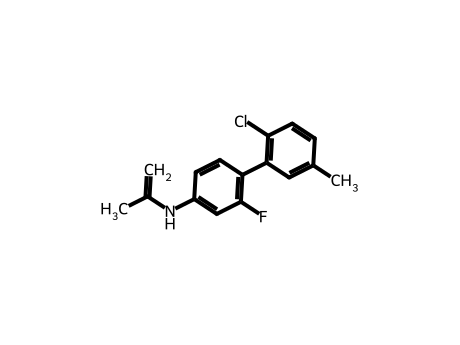 C=C(C)Nc1ccc(-c2cc(C)ccc2Cl)c(F)c1